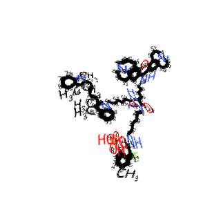 Cc1ccc(OP(=O)(O)O)c(C(F)C(=O)NCCCCCCNC(=O)C(CCCCNC2=c3cc4c5c(c3Oc3c2cc2c6c3CCCN6CCC2)CCC[N+]=5CCC4)NC(=O)CCCCC[N+]2=C(/C=C/C=C/C=C3/N(C)C4CCCCC4C3(C)C)C(C)(C)c3ccccc32)c1